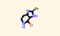 CC(C)c1nc2cc[nH]c(=O)c2[nH]1